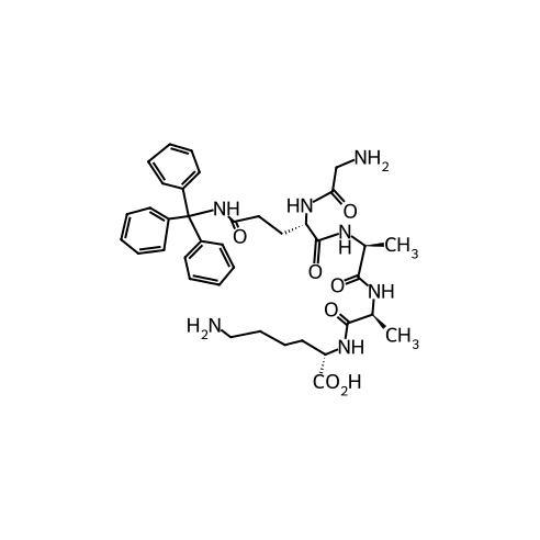 C[C@H](NC(=O)[C@H](C)NC(=O)[C@H](CCC(=O)NC(c1ccccc1)(c1ccccc1)c1ccccc1)NC(=O)CN)C(=O)N[C@@H](CCCCN)C(=O)O